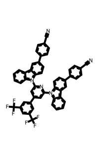 N#Cc1ccc(-c2ccc3c(c2)c2ccccc2n3-c2cc(-c3cc(C(F)(F)F)cc(C(F)(F)F)c3)cc(-n3c4ccccc4c4cc(-c5ccc(C#N)cc5)ccc43)n2)cc1